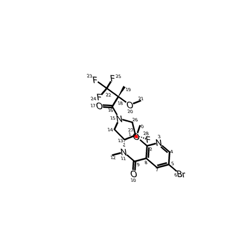 COc1ncc(Br)cc1C(=O)N(C)[C@@H]1CN(C(=O)[C@@](C)(OC)C(F)(F)F)C[C@@H]1F